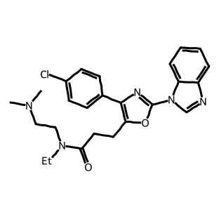 CCN(CCN(C)C)C(=O)CCc1oc(-n2cnc3ccccc32)nc1-c1ccc(Cl)cc1